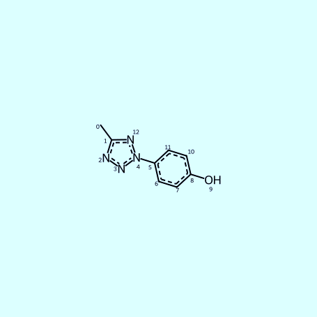 Cc1nnn(-c2ccc(O)cc2)n1